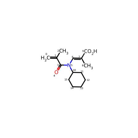 C=C(C)C(=O)N(C=C(C)C(=O)O)C1CCCCC1